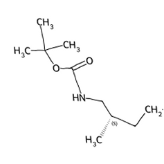 [CH2]C[C@H](C)CNC(=O)OC(C)(C)C